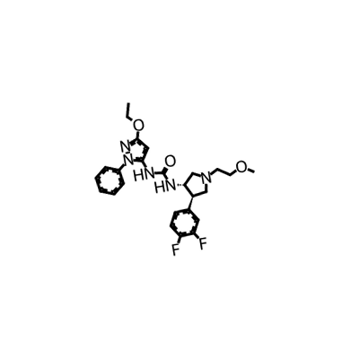 CCOc1cc(NC(=O)N[C@@H]2CN(CCOC)C[C@H]2c2ccc(F)c(F)c2)n(-c2ccccc2)n1